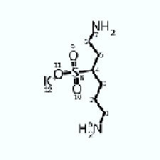 NCCCC(CCN)S(=O)(=O)[O-].[K+]